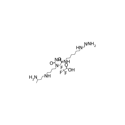 CC(N)CCNCCCCN(CC(=O)NCCCCCCNC=NN)C(N)=O.O=C(O)C(F)(F)F